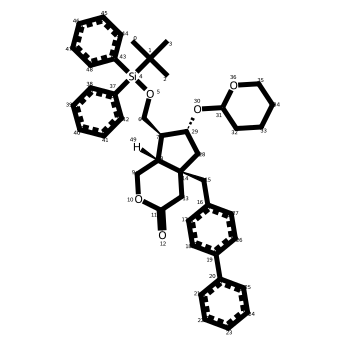 CC(C)(C)[Si](OC[C@@H]1[C@H]2COC(=O)C[C@@]2(Cc2ccc(-c3ccccc3)cc2)C[C@H]1OC1CCCCO1)(c1ccccc1)c1ccccc1